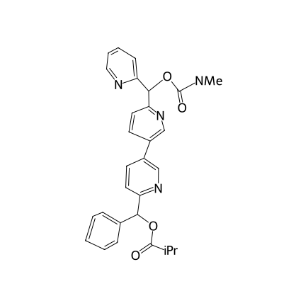 CNC(=O)OC(c1ccccn1)c1ccc(-c2ccc(C(OC(=O)C(C)C)c3ccccc3)nc2)cn1